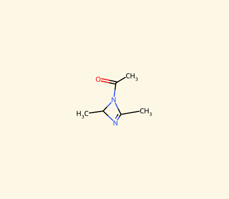 CC(=O)N1C(C)=NC1C